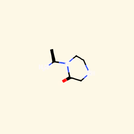 C=C(N)N1CCNCC1=O